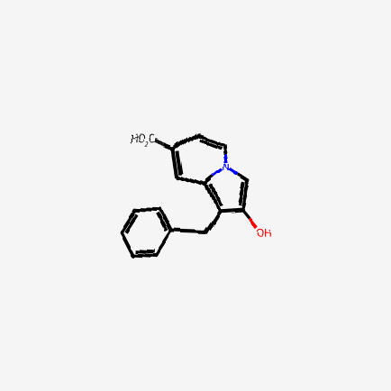 O=C(O)c1ccn2cc(O)c(Cc3ccccc3)c2c1